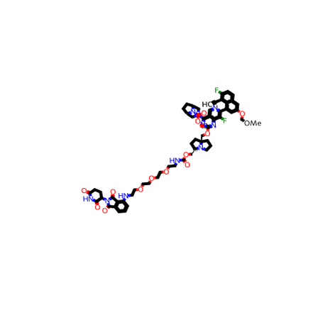 C#Cc1c(F)ccc2cc(OCOC)cc(-c3ncc4c(N5CC6CCC(C5)N6C(=O)OC(C)(C)C)nc(OC[C@@]56CCCN5[C@H](COC(=O)NCCOCCOCCOCCNc5cccc7c5C(=O)N(C5CCC(=O)NC5=O)C7=O)CC6)nc4c3F)c12